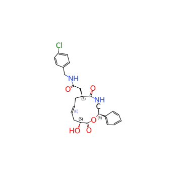 O=C(C[C@@H]1C/C=C/C[C@H](O)C(=O)O[C@H](c2ccccc2)CNC1=O)NCc1ccc(Cl)cc1